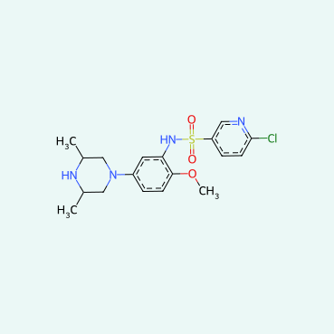 COc1ccc(N2CC(C)NC(C)C2)cc1NS(=O)(=O)c1ccc(Cl)nc1